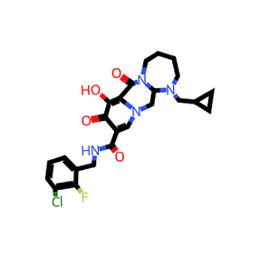 O=C(NCc1cccc(Cl)c1F)c1cn2c(c(O)c1=O)C(=O)N1CCCCN(CC3CC3)C1C2